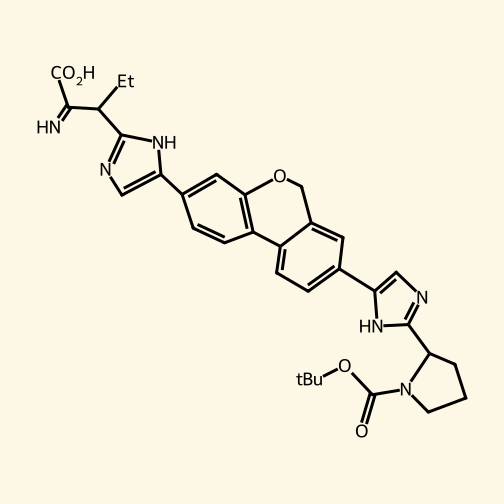 CCC(C(=N)C(=O)O)c1ncc(-c2ccc3c(c2)OCc2cc(-c4cnc(C5CCCN5C(=O)OC(C)(C)C)[nH]4)ccc2-3)[nH]1